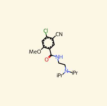 COc1cc(Cl)c(C#N)cc1C(=O)NCCN(C(C)C)C(C)C